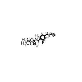 CC(C)(C)OC(=O)NCc1ccc(CCC=O)cc1F